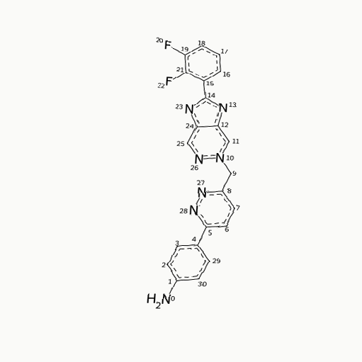 Nc1ccc(-c2ccc(Cn3cc4nc(-c5cccc(F)c5F)nc-4cn3)nn2)cc1